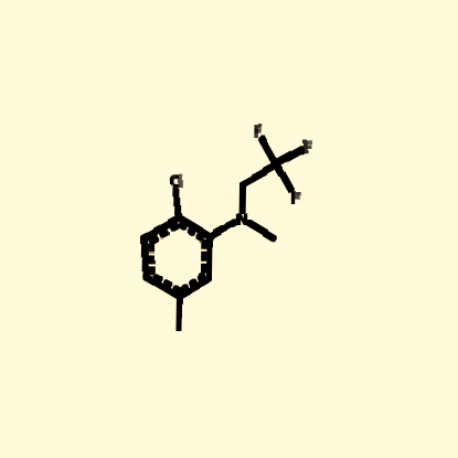 Cc1ccc(Cl)c(N(C)CC(F)(F)F)c1